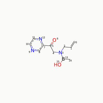 C=CCN(CC(=O)c1cnccn1)B(C)O